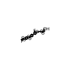 C=C(F)C(=O)Oc1ccc(OC(=O)c2ccc(-c3ccc(OCCCOC(=O)C(=C)CO)c(F)c3)cc2)cc1